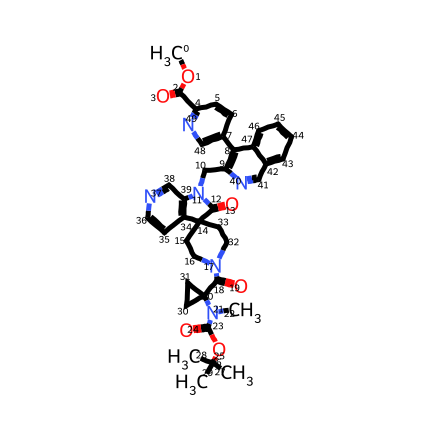 COC(=O)c1ccc(-c2c(CN3C(=O)C4(CCN(C(=O)C5(N(C)C(=O)OC(C)(C)C)CC5)CC4)c4ccncc43)ncc3ccccc23)cn1